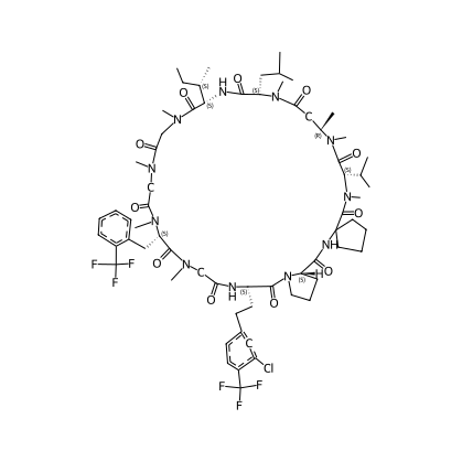 CC[C@H](C)[C@@H]1NC(=O)[C@H](CC(C)C)N(C)C(=O)C[C@@H](C)N(C)C(=O)[C@H](C(C)C)N(C)C(=O)C2(CCCC2)NC(=O)[C@@H]2CCCN2C(=O)[C@H](CCc2ccc(C(F)(F)F)c(Cl)c2)NC(=O)CN(C)C(=O)[C@H](Cc2ccccc2C(F)(F)F)N(C)C(=O)CN(C)C(=O)CN(C)C1=O